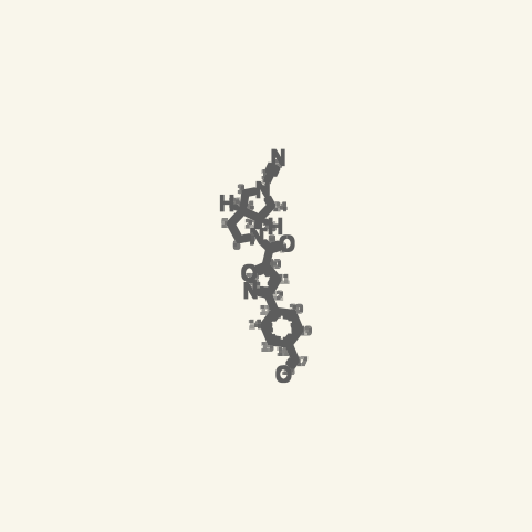 N#CN1C[C@H]2CCN(C(=O)c3cc(-c4ccc(C=O)cc4)no3)[C@H]2C1